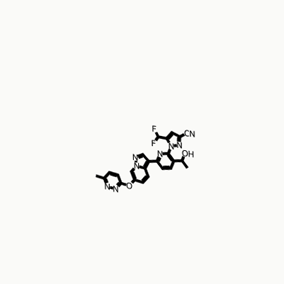 Cc1ccc(Oc2ccc3c(-c4ccc(C(C)O)c(-n5nc(C#N)cc5C(F)F)n4)cnn3c2)nn1